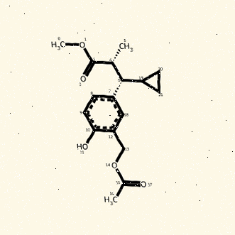 COC(=O)[C@H](C)[C@@H](c1ccc(O)c(COC(C)=O)c1)C1CC1